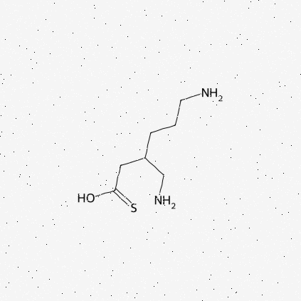 NCCCC(CN)CC(O)=S